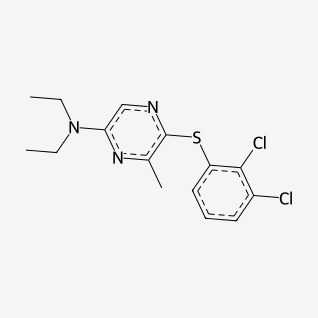 CCN(CC)c1cnc(Sc2cccc(Cl)c2Cl)c(C)n1